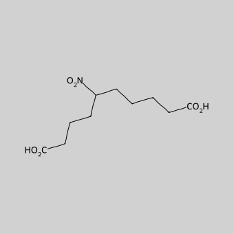 O=C(O)CCCCC(CCCC(=O)O)[N+](=O)[O-]